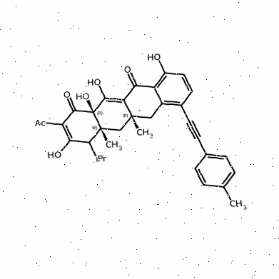 CC(=O)C1=C(O)C(C(C)C)[C@@]2(C)C[C@@]3(C)Cc4c(C#Cc5ccc(C)cc5)ccc(O)c4C(=O)C3=C(O)[C@@]2(O)C1=O